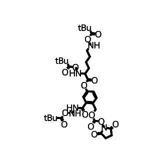 CC(C)(C)C(=O)ONCCCCC(NOC(=O)C(C)(C)C)C(=O)Oc1ccc(COC(=O)ON2C(=O)CCC2=O)c(C(=O)NNOC(=O)C(C)(C)C)c1